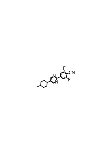 CC1CCC(c2cnc(-c3cc(F)c(C#N)c(F)c3)nc2)CC1